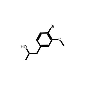 COc1cc(CC(C)O)ccc1Br